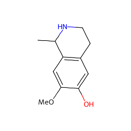 COc1cc2c(cc1O)CCNC2C